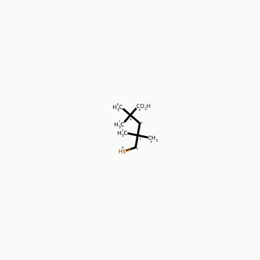 CC(C)(CS)CC(C)(C)C(=O)O